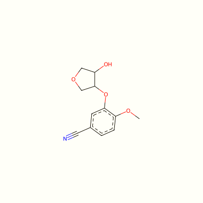 COc1ccc(C#N)cc1OC1COCC1O